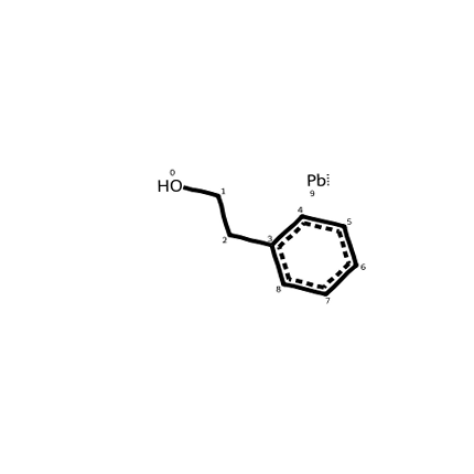 OCCc1ccccc1.[Pb]